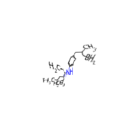 BCC(C)Cc1ccc(N/C(C=C)=C(\C=C)C=C(C)C)cc1